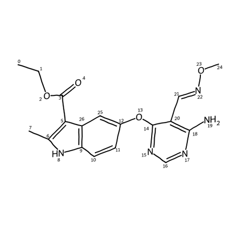 CCOC(=O)c1c(C)[nH]c2ccc(Oc3ncnc(N)c3C=NOC)cc12